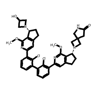 COc1nc(-c2cccc(-c3cccc(-c4cc5c(c(OC)n4)[C@H](N4CC6(CNC(=O)C6)C4)CC5)c3Cl)c2Cl)cc2c1[C@H](N1CC(O)C1)CC2